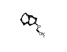 C=COc1ccc2ccccc2c1